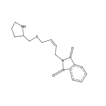 O=C1c2ccccc2C(=O)N1C/C=C\CSCC1CCCN1